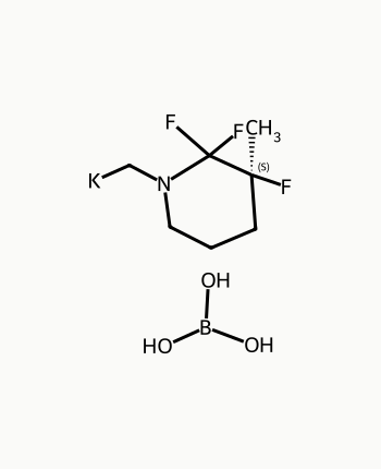 C[C@]1(F)CCCN([CH2][K])C1(F)F.OB(O)O